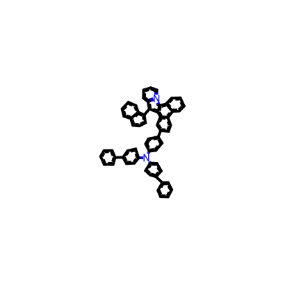 c1ccc(-c2ccc(N(c3ccc(-c4ccccc4)cc3)c3ccc(-c4ccc5c6ccccc6c6c(c(-c7cccc8ccccc78)c7ccccn76)c5c4)cc3)cc2)cc1